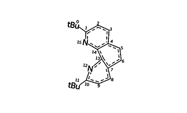 CC(C)(C)c1ccc2ccc3ccc(C(C)(C)C)nc3c2n1